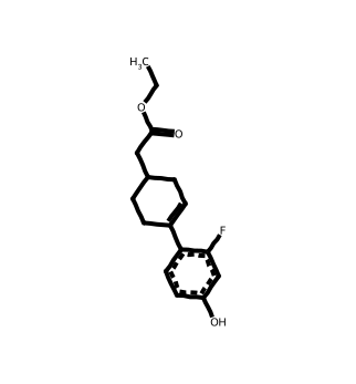 CCOC(=O)CC1CC=C(c2ccc(O)cc2F)CC1